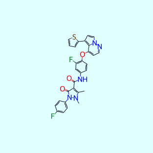 Cc1c(C(=O)Nc2ccc(Oc3ccnn4ccc(-c5cccs5)c34)c(F)c2)c(=O)n(-c2ccc(F)cc2)n1C